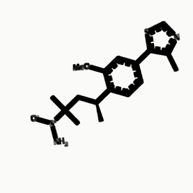 COc1cc(-c2scnc2C)ccc1[C@@H](C)CC(C)(C)[S+](N)[O-]